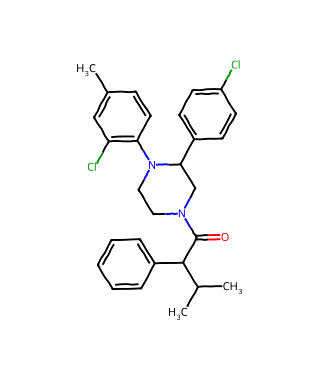 Cc1ccc(N2CCN(C(=O)C(c3ccccc3)C(C)C)CC2c2ccc(Cl)cc2)c(Cl)c1